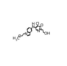 COCCn1ccc2cc(Nc3cnn(CCO)c(=O)c3Cl)ccc21